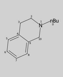 [CH2]CCCN1CCc2ccccc2C1